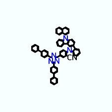 N#Cc1cc(-c2nc(-c3ccc(-c4ccccc4)cc3)nc(-c3ccc(-c4ccccc4)cc3)n2)ccc1-n1c2ccccc2c2ccc3c(c4ccccc4n3-c3cccc4ccccc34)c21